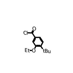 CCOc1cc(C(=O)Cl)ccc1C(C)(C)C